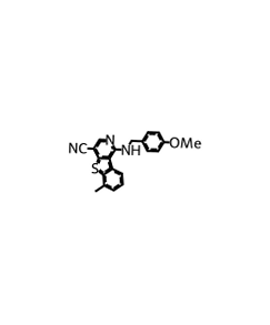 COc1ccc(CNc2ncc(C#N)c3sc4c(C)cccc4c23)cc1